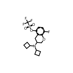 O=S(=O)(Oc1ccc(F)c2c1CC(N(C1CCC1)C1CCC1)CO2)C(F)(F)F